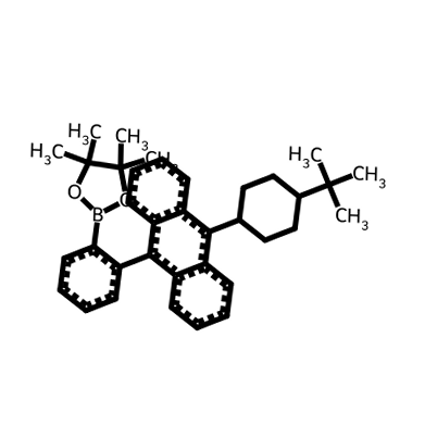 CC(C)(C)C1CCC(c2c3ccccc3c(-c3ccccc3B3OC(C)(C)C(C)(C)O3)c3ccccc23)CC1